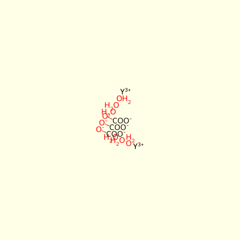 O.O.O.O.O.O.O=C([O-])[O-].O=C([O-])[O-].O=C([O-])[O-].[Y+3].[Y+3]